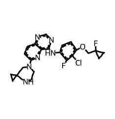 Fc1c(Nc2ncnc3ccc(N4CCNC5(CC5)C4)nc23)ccc(OCC2(F)CC2)c1Cl